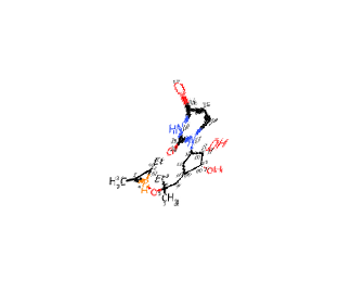 CC[C@H]1C(C)=[PH]1OC(C)(CC)C[C@H]1CC(n2ccc(=O)[nH]c2=O)[C@H](O)[C@@H]1O